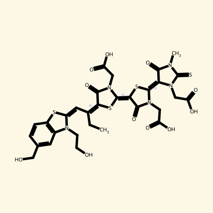 CC/C(C=C1Sc2ccc(CO)cc2N1CCO)=c1\s/c(=c2/s/c(=C3\C(=O)N(C)C(=S)N3CC(=O)O)n(CC(=O)O)c2=O)n(CC(=O)O)c1=O